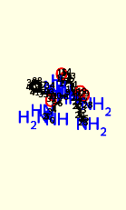 N=C(N)NCCCC(CNC(CC1CCOCC1)C(=O)NC(CCCCN)C(N)=O)NC(=O)C(N)Cc1ccccc1